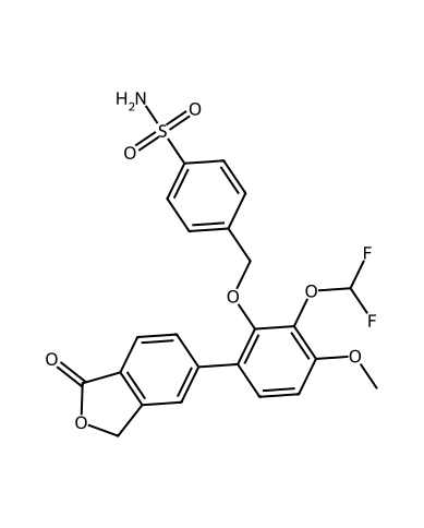 COc1ccc(-c2ccc3c(c2)COC3=O)c(OCc2ccc(S(N)(=O)=O)cc2)c1OC(F)F